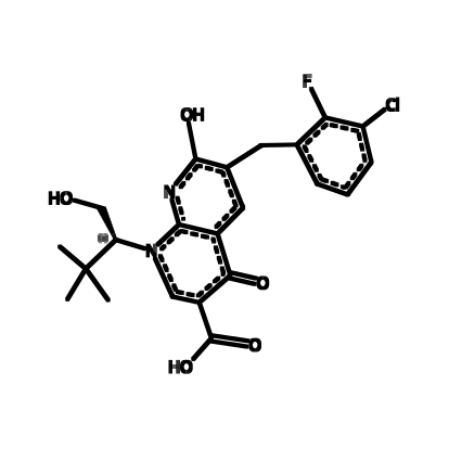 CC(C)(C)[C@@H](CO)n1cc(C(=O)O)c(=O)c2cc(Cc3cccc(Cl)c3F)c(O)nc21